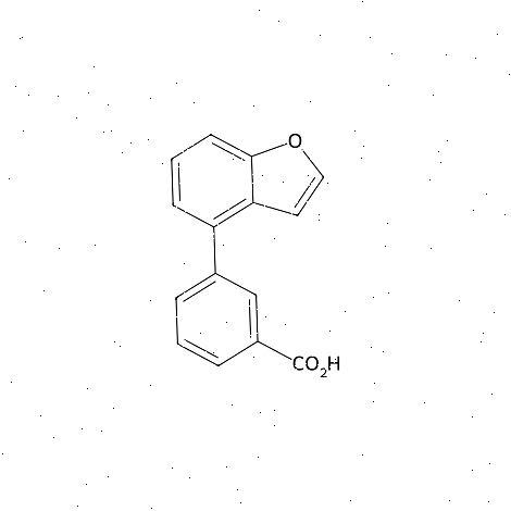 O=C(O)c1cccc(-c2cccc3occc23)c1